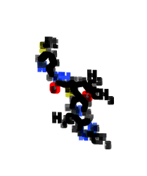 CCSc1ccc(CNC(=O)c2cc3c(s2)C2(CCN([C@H](C)c4cnc(C(F)(F)F)nc4)CC2)OC(C)(C)C3)nc1